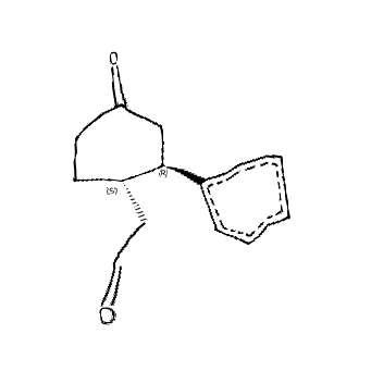 O=CC[C@@H]1CCC(=O)C[C@H]1c1ccccc1